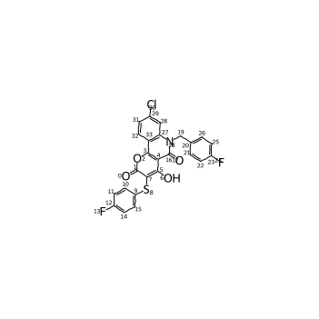 O=c1oc2c(c(O)c1Sc1ccc(F)cc1)c(=O)n(Cc1ccc(F)cc1)c1cc(Cl)ccc21